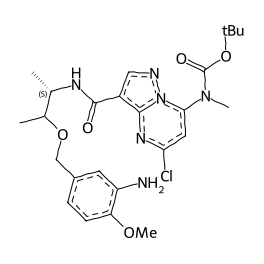 COc1ccc(COC(C)[C@H](C)NC(=O)c2cnn3c(N(C)C(=O)OC(C)(C)C)cc(Cl)nc23)cc1N